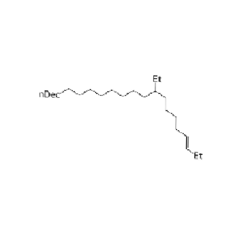 [CH2]CC=CCCCCC(CC)CCCCCCCCCCCCCCCCC[CH2]